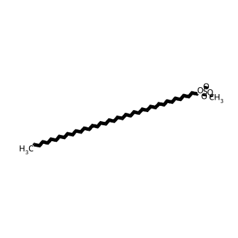 CCCCCCCCCCCCCCCCCCCCCCCCCCCCCCCCCCCCCCCCCOS(=O)(=O)OC